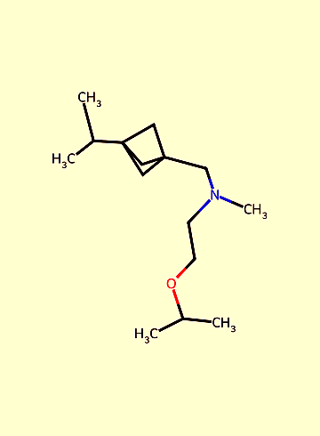 CC(C)OCCN(C)CC12CC(C(C)C)(C1)C2